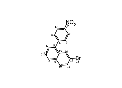 O=[N+]([O-])c1ccc(-c2cncc3ccc(Br)cc23)cc1